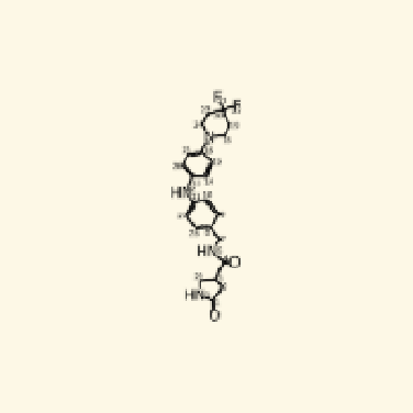 O=C1CC(C(=O)NCc2ccc(Nc3ccc(N4CCC(F)(F)CC4)cc3)cc2)CN1